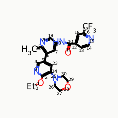 CCOc1ncc(-c2cc(NC(=O)c3ccnc(C(F)(F)F)c3)cnc2C)cc1N1CCOCC1